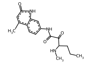 CCCC(NC)C(=O)C(=O)Nc1ccc2c(C)cc(=O)[nH]c2c1